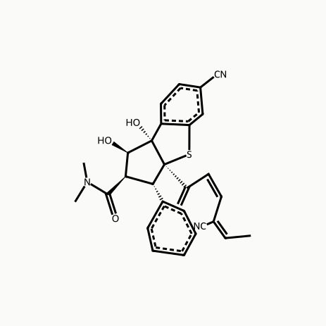 C=C(/C=C\C(C#N)=C/C)[C@@]12Sc3cc(C#N)ccc3[C@]1(O)[C@H](O)[C@H](C(=O)N(C)C)[C@H]2c1ccccc1